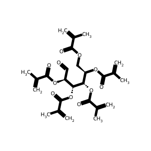 C=C(C)C(=O)OC[C@@H](OC(=O)C(=C)C)[C@H](OC(=O)C(=C)C)[C@H](OC(=O)C(=C)C)[C@H](C=O)OC(=O)C(=C)C